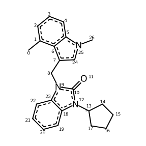 Cc1cccc2c1c(Cn1c(=O)n([C]3CCCC3)c3ccccc31)cn2C